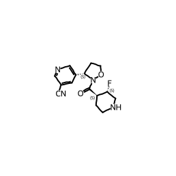 N#Cc1cncc([C@@H]2CCON2C(=O)[C@@H]2CCNC[C@H]2F)c1